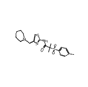 Cc1ccc(S(=O)(=O)C(C)(C)C(=O)Nc2nc(CN3CCCCC3)cs2)cc1